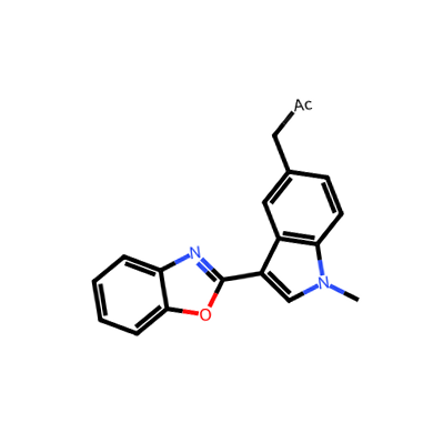 CC(=O)Cc1ccc2c(c1)c(-c1nc3ccccc3o1)cn2C